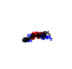 Cc1nc(N)c2ncn([C@@H]3O[C@H](COS(=O)(=O)NC(=O)CCc4cc5ccccc5[nH]4)C(O)[C@@H]3O)c2n1